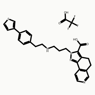 O=C(O)C(F)(F)F.O=C(O)c1c2c(nn1CCCNCCc1ccc(-c3ccsc3)cc1)-c1ccncc1CC2